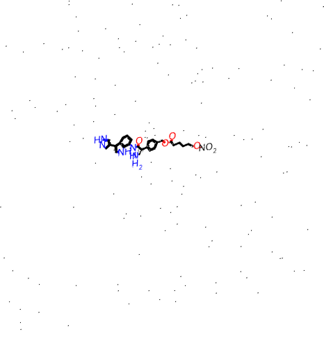 NC[C@@H](C(=O)Nc1cccc2c(-c3cn[nH]c3)c[nH]c12)c1ccc(COC(=O)CCCCCO[N+](=O)[O-])cc1